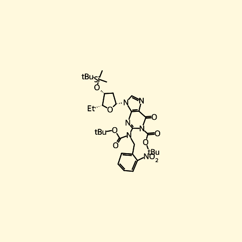 CC[C@H]1O[C@@H](n2cnc3c(=O)n(C(=O)OC(C)(C)C)c(N(Cc4ccccc4[N+](=O)[O-])C(=O)OC(C)(C)C)nc32)C[C@H]1O[Si](C)(C)C(C)(C)C